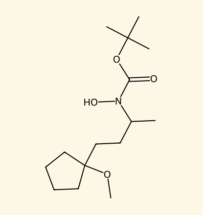 COC1(CCC(C)N(O)C(=O)OC(C)(C)C)CCCC1